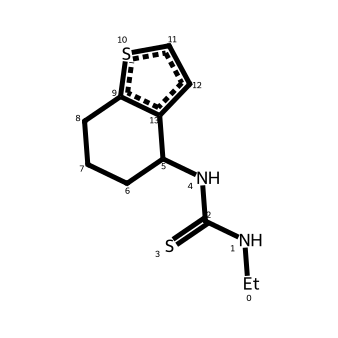 CCNC(=S)NC1CCCc2sccc21